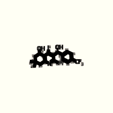 CC(C)c1nc2c(c(I)c1[C@H](O)c1ccc(C(F)(F)F)cc1)C(O)CC(C)(C)C2